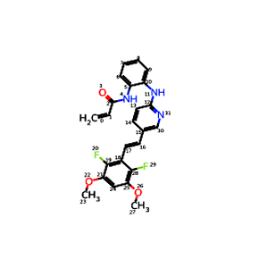 C=CC(=O)Nc1ccccc1Nc1ccc(C=Cc2c(F)c(OC)cc(OC)c2F)cn1